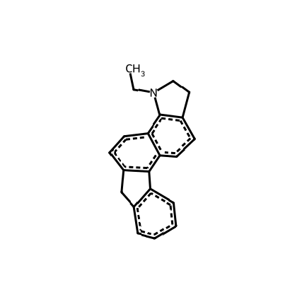 CCN1CCc2ccc3c4c(ccc3c21)Cc1ccccc1-4